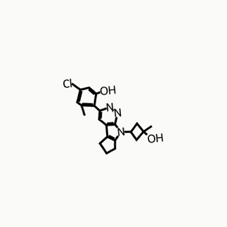 Cc1cc(Cl)cc(O)c1-c1cc2c3c(n(C4CC(C)(O)C4)c2nn1)CCC3